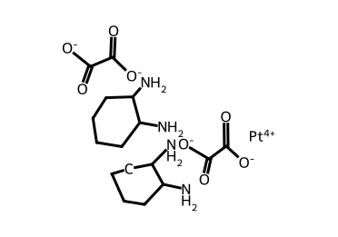 NC1CCCCC1N.NC1CCCCC1N.O=C([O-])C(=O)[O-].O=C([O-])C(=O)[O-].[Pt+4]